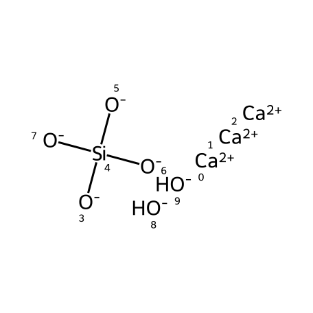 [Ca+2].[Ca+2].[Ca+2].[O-][Si]([O-])([O-])[O-].[OH-].[OH-]